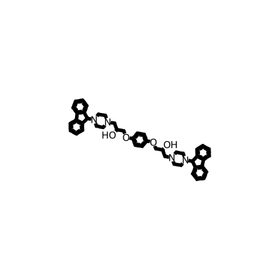 OC(COc1ccc(OCC(O)CN2CCN(C3c4ccccc4-c4ccccc43)CC2)cc1)CN1CCN(C2c3ccccc3-c3ccccc32)CC1